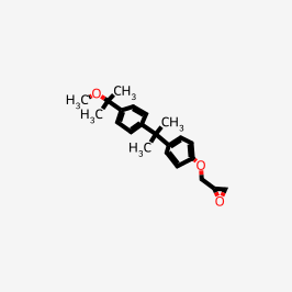 COC(C)(C)c1ccc(C(C)(C)c2ccc(OCC3CO3)cc2)cc1